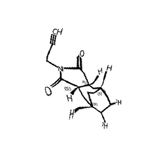 [2H]C1C([2H])[C@@H]2C[C@H]1[C@@H]1C(=O)N(CC#C)C(=O)[C@@H]12